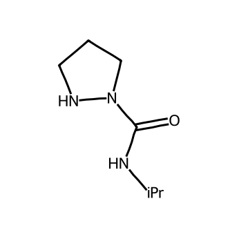 CC(C)NC(=O)N1CCCN1